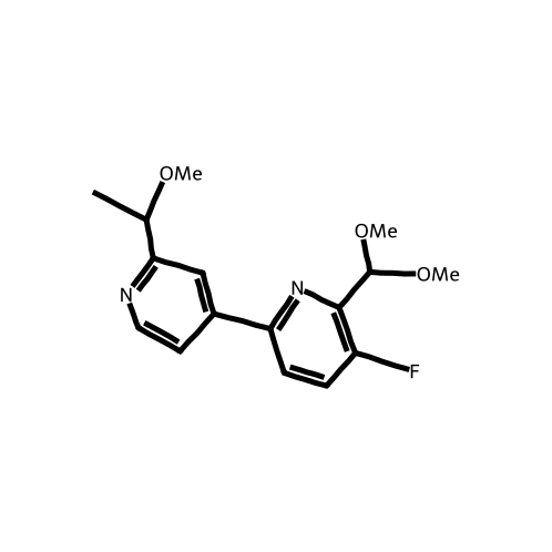 COC(C)c1cc(-c2ccc(F)c(C(OC)OC)n2)ccn1